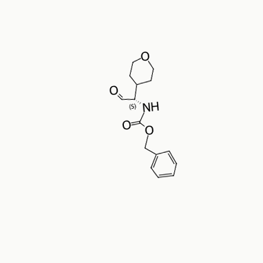 O=C[C@@H](NC(=O)OCc1ccccc1)C1CCOCC1